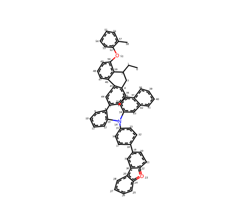 CCC1Cc2ccc(-c3ccccc3N(c3ccc(-c4ccc5oc6ccccc6c5c4)cc3)c3ccc4ccccc4c3)cc2-c2cccc(Oc3ccccc3C)c21